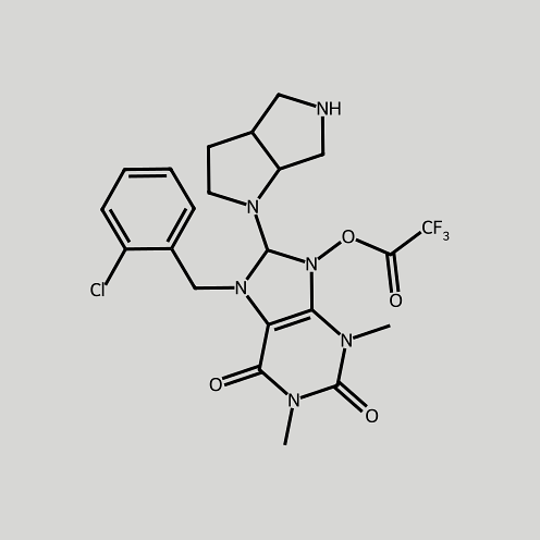 Cn1c2c(c(=O)n(C)c1=O)N(Cc1ccccc1Cl)C(N1CCC3CNCC31)N2OC(=O)C(F)(F)F